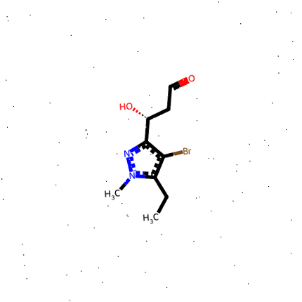 CCc1c(Br)c([C@H](O)CC=O)nn1C